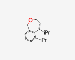 CC(C)C1=CCOCc2cccc(C(C)C)c21